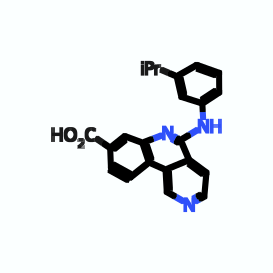 CC(C)c1cccc(Nc2nc3cc(C(=O)O)c#cc3c3cnccc23)c1